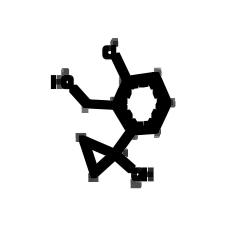 OCc1c(Cl)cccc1C1(O)CC1